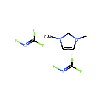 CCCCN1C=CN(C)C1.FN=C(F)F.FN=C(F)F